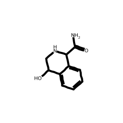 NC(=O)C1NCC(O)c2ccccc21